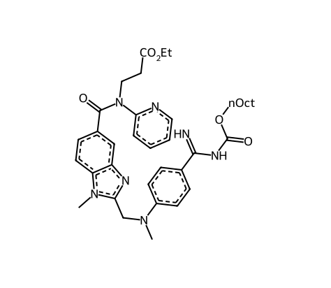 CCCCCCCCOC(=O)NC(=N)c1ccc(N(C)Cc2nc3cc(C(=O)N(CCC(=O)OCC)c4ccccn4)ccc3n2C)cc1